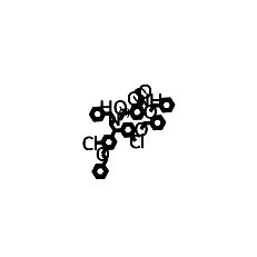 CS(=O)(=O)Nc1cc([C@@H](O)CN(Cc2ccccc2)CC(c2ccc(OCc3ccccc3)c(Cl)c2)c2ccc(OCc3ccccc3)c(Cl)c2)ccc1OCc1ccccc1